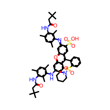 Cc1cc(C)c(NC(=O)CC(C)(C)C)c(C)c1/N=c1\cc2oc3cc(Nc4c(C)cc(C)c(NC(=O)CC(C)(C)C)c4C)ccc3c(-c3ccccc3S(=O)(=O)N3CCCCC3)c-2cc1S(=O)(=O)O